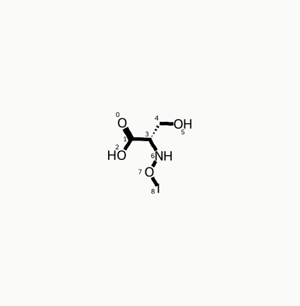 O=C(O)[C@H](CO)NOI